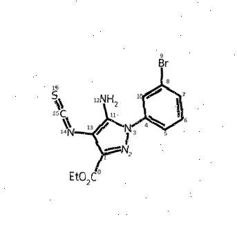 CCOC(=O)c1nn(-c2cccc(Br)c2)c(N)c1N=C=S